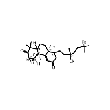 CCC(C)(C)CC[C@](C)(C#N)CC[C@]1(C)CC(=O)C=C2[C@@]3(C)[C@H]4O[C@@]4(C#N)C(=O)C(C)(C)[C@@H]3CC[C@]21C